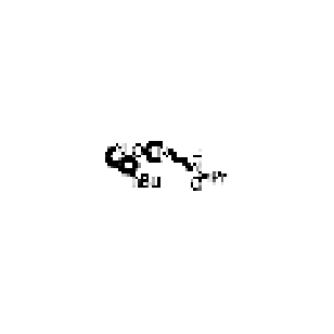 CCCCc1cc(OC2CCN(CCCCNC(=O)C(C)C)CC2)c2ncccc2c1